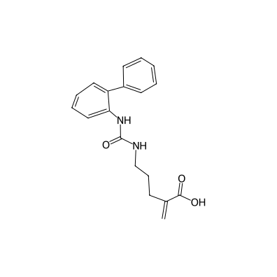 C=C(CCCNC(=O)Nc1ccccc1-c1ccccc1)C(=O)O